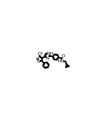 O=C(NCC1CC1)c1ccc(-c2nc(-c3c(-c4ccccc4)noc3C(F)(F)F)c[nH]2)cc1